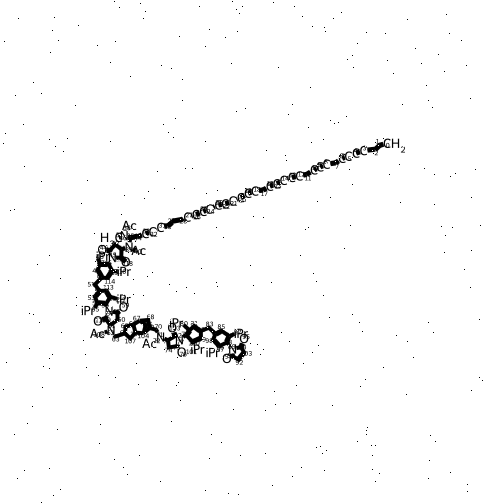 C=C=C=C=C=C=C=C=C=C=C=C=C=C=C=C=C=C=C=C=C=C=C=C=C=C=C=C=C=C=C=C=C=C=C=C(N(C)C(C)=O)N(C(C)=O)C1CC(=O)N(c2c(C(C)C)cc(Cc3cc(C(C)C)c(N4C(=O)CC(N(CC5CC6C7CC(CN(C(C)=O)C8CC(=O)N(c9c(C(C)C)cc(Cc%10cc(C(C)C)c(N%11C(=O)C=CC%11=O)c(C(C)C)c%10)cc9C(C)C)C8=O)C(C7)C6C5)C(C)=O)C4=O)c(C(C)C)c3)cc2C(C)C)C1=O